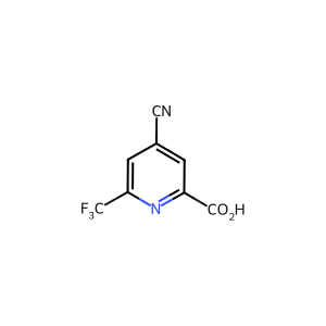 N#Cc1cc(C(=O)O)nc(C(F)(F)F)c1